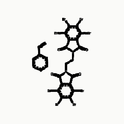 C=Cc1ccccc1.O=C1c2c(Br)c(Br)c(Br)c(Br)c2C(=O)N1CCN1C(=O)c2c(Br)c(Br)c(Br)c(Br)c2C1=O